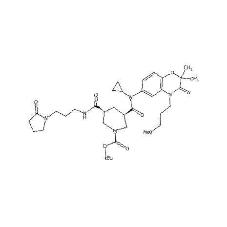 COCCCN1C(=O)C(C)(C)Oc2ccc(N(C(=O)[C@@H]3C[C@H](C(=O)NCCCN4CCCC4=O)CN(C(=O)OC(C)(C)C)C3)C3CC3)cc21